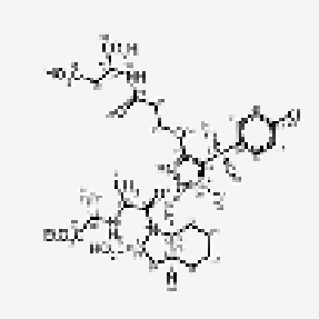 CCC[C@H](N[C@@H](C)C(=O)N1[C@H](C(=O)O)C[C@@H]2CCCC[C@@H]21)C(=O)OCC.O=C(O)C[C@H](NC(=O)CCOc1no[n+]([O-])c1S(=O)(=O)c1ccc(Cl)cc1)C(=O)O